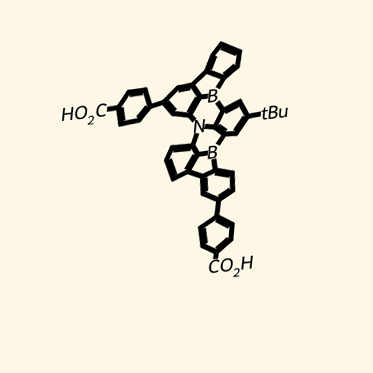 CC(C)(C)c1cc2c3c(c1)B1c4ccccc4-c4cc(-c5ccc(C(=O)O)cc5)cc(c41)N3c1cccc3c1B2c1ccc(-c2ccc(C(=O)O)cc2)cc1-3